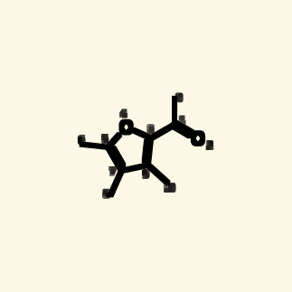 CC(=O)c1oc(C)c(C)c1C